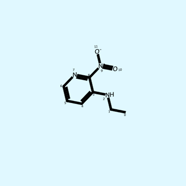 CCNc1cccnc1[N+](=O)[O-]